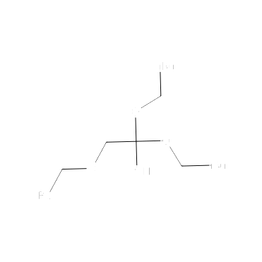 CCC(C)COCC([SiH3])(OCC(C)CC)OCC(C)CC